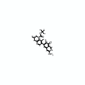 Cc1c(-c2cc3cc(N)ncc3c(Cl)c2F)cnc2c1N(C(=O)OC(C)(C)C)CC(C)C2